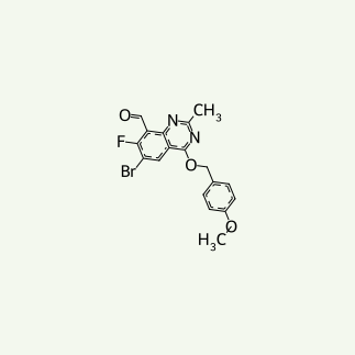 COc1ccc(COc2nc(C)nc3c(C=O)c(F)c(Br)cc23)cc1